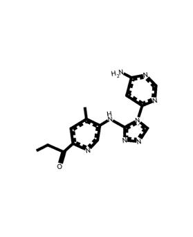 CCC(=O)c1cc(C)c(Nc2nncn2-c2cc(N)ncn2)cn1